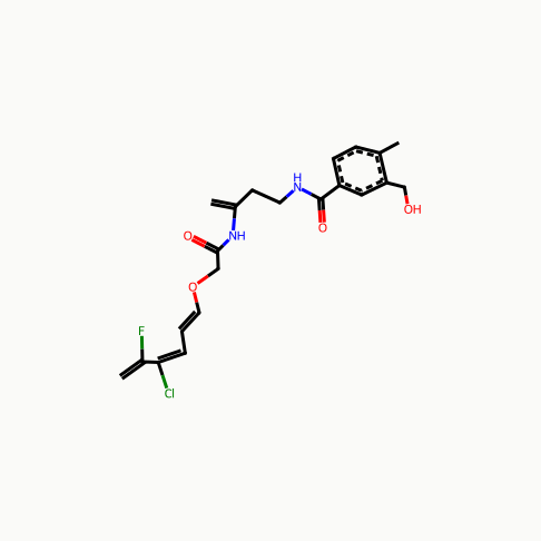 C=C(CCNC(=O)c1ccc(C)c(CO)c1)NC(=O)CO/C=C/C=C(/Cl)C(=C)F